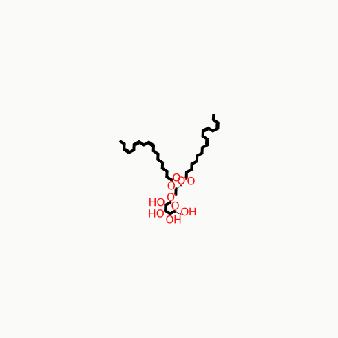 CC/C=C\C/C=C\C/C=C\CCCCCCCC(=O)OC[C@H](CO[C@H]1O[C@H](CO)[C@@H](O)[C@H](O)[C@@H]1O)OC(=O)CCCCCCC/C=C\C/C=C\C/C=C\CC